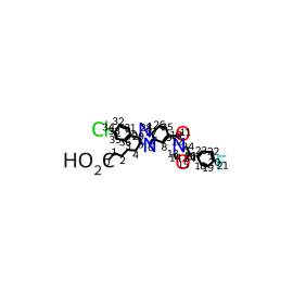 O=C(O)CCCCc1nc2cc(C(=O)N3CCO[C@@H](c4ccc(F)cc4)C3)ccc2nc1-c1ccc(Cl)cc1